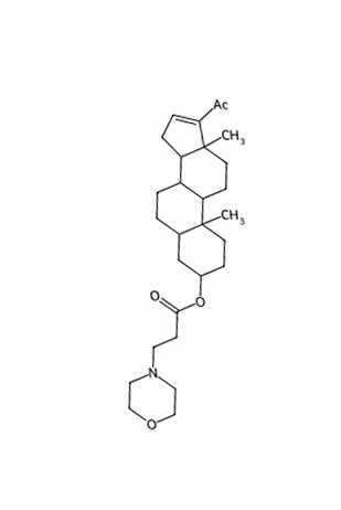 CC(=O)C1=CCC2C3CCC4CC(OC(=O)CCN5CCOCC5)CCC4(C)C3CCC12C